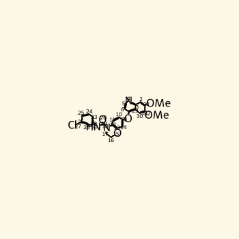 COc1cc2nccc(Oc3ccc4c(c3)OCCN4C(=O)Nc3cccc(Cl)c3)c2cc1OC